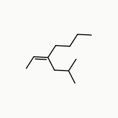 CC=C(CCCC)CC(C)C